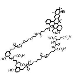 CC[N+]1=c2cc3c(cc2C(C)=CC1(C)C)=C(c1ccccc1C(=O)N(C)CCCC(=O)NCCOCCOCCNC(=O)CCc1ccc(O)c(CN(CCN(CC(=O)O)Cc2cc(CCC(=O)NCCCCCC(=O)NCCCCC(NC(=O)NC(CCC(=O)O)C(=O)O)C(=O)O)ccc2O)CC(=O)O)c1)c1cc2c4c(c1C3(C)C)CCCC4NCC2